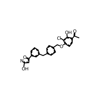 CC(=O)c1ccc(OCc2ccc(Cc3cccc(-c4cc(O)no4)c3)cc2)c(Cl)c1O